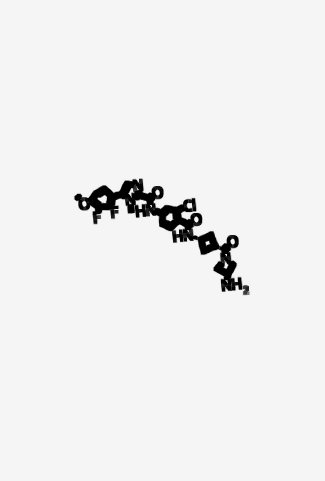 COc1ccc(-c2cnc(C(=O)Nc3ccc(C(=O)N[C@H]4C[C@@H](C(=O)N5CC(N)C5)C4)c(Cl)c3)n2C)c(F)c1F